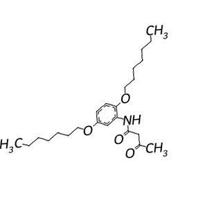 CCCCCCCOc1ccc(OCCCCCCC)c(NC(=O)CC(C)=O)c1